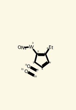 CCC1=[C]([W][N]=O)CC=C1.[C]=O.[C]=O